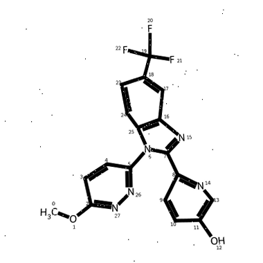 COc1ccc(-n2c(-c3ccc(O)cn3)nc3cc(C(F)(F)F)ccc32)nn1